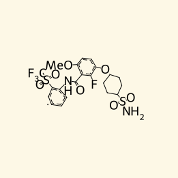 COc1ccc(OC2CCC(S(N)(=O)=O)CC2)c(F)c1C(=O)Nc1cc[c]cc1S(=O)(=O)C(F)(F)F